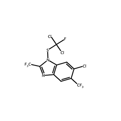 FC(Cl)(Cl)Sn1c(C(F)(F)F)nc2cc(C(F)(F)F)c(Cl)cc21